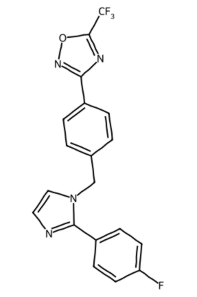 Fc1ccc(-c2nccn2Cc2ccc(-c3noc(C(F)(F)F)n3)cc2)cc1